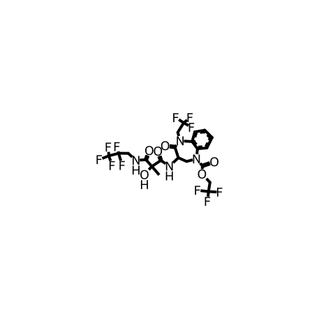 CC(O)(C(=O)NCC(F)(F)C(F)(F)F)C(=O)NC1CN(C(=O)OCC(F)(F)F)c2ccccc2N(CC(F)(F)F)C1=O